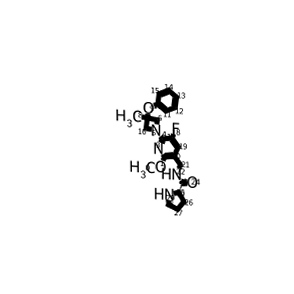 COc1nc(N2CC(C)(Oc3ccccc3)C2)c(F)cc1CNC(=O)[C@@H]1CCCN1